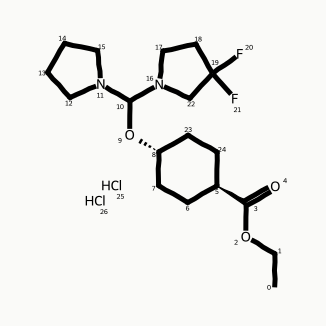 CCOC(=O)[C@H]1CC[C@H](OC(N2CCCC2)N2CCC(F)(F)C2)CC1.Cl.Cl